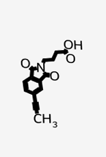 CC#Cc1ccc2c(c1)C(=O)N(CCCC(=O)O)C2=O